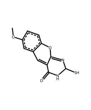 COc1ccc2c(c1)C=C1C(=O)NC(S)N=C1O2